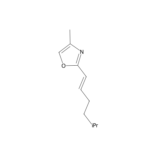 Cc1coc(/C=C/CCC(C)C)n1